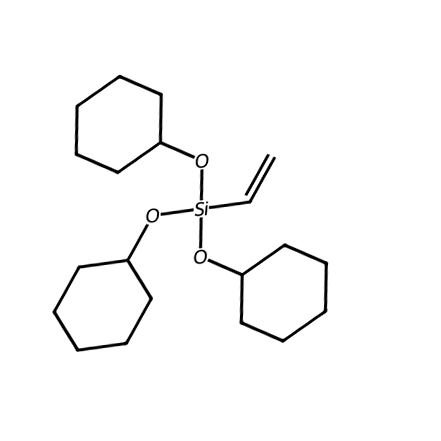 C=C[Si](OC1CCCCC1)(OC1CCCCC1)OC1CCCCC1